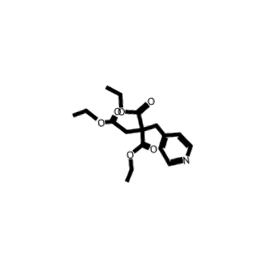 CCOC(=O)CC(Cc1ccncc1)(C(=O)OCC)C(=O)OCC